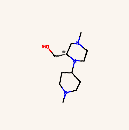 CN1CCC(N2CCN(C)C[C@H]2CO)CC1